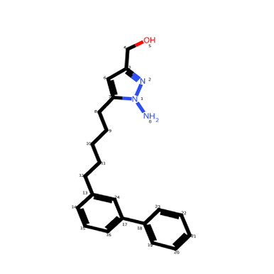 Nn1nc(CO)cc1CCCCCc1cccc(-c2ccccc2)c1